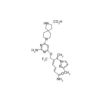 C=C(/C(=C\C=C\C(N)=O)[C@@H](Oc1cc(N2CCC3(CC2)CN[C@H](C(=O)O)C3)nc(N)n1)C(F)(F)F)n1ccc(C)n1